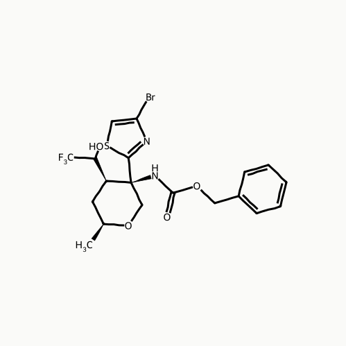 C[C@H]1C[C@@H](C(O)C(F)(F)F)[C@](NC(=O)OCc2ccccc2)(c2nc(Br)cs2)CO1